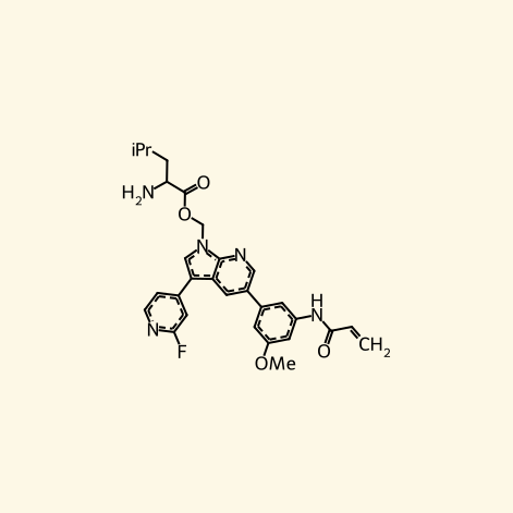 C=CC(=O)Nc1cc(OC)cc(-c2cnc3c(c2)c(-c2ccnc(F)c2)cn3COC(=O)C(N)CC(C)C)c1